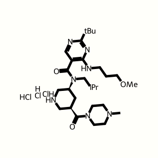 COCCCNc1nc(C(C)(C)C)ncc1C(=O)N(CC(C)C)[C@@H]1CNC[C@H](C(=O)N2CCN(C)CC2)C1.Cl.Cl.Cl